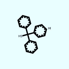 I.SC(c1ccccc1)(c1ccccc1)c1ccccc1